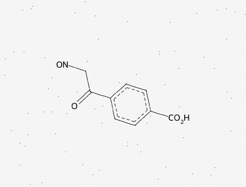 O=NCC(=O)c1ccc(C(=O)O)cc1